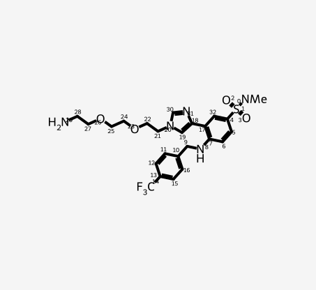 CNS(=O)(=O)c1ccc(NCc2ccc(C(F)(F)F)cc2)c(-c2cn(CCOCCOCCN)cn2)c1